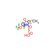 CCc1cc(C(=O)c2ccc(OC(F)(F)F)c(F)c2)c(NC(=O)CSCC(=O)O)s1